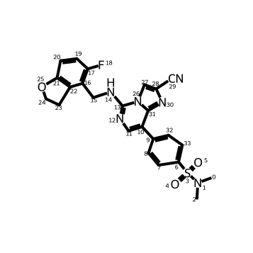 CN(C)S(=O)(=O)c1ccc(-c2cnc(NCc3c(F)ccc4c3CCO4)n3cc(C#N)nc23)cc1